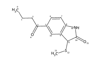 CCCC(=O)c1ccc2c(c1)C(SC)C(=O)N2